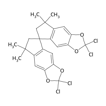 CC1(C)CC2(CC(C)(C)c3cc4c(cc32)OC(Cl)(Cl)O4)c2cc3c(cc21)OC(Cl)(Cl)O3